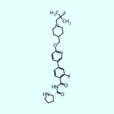 CC(C)(F)CN1CCC(COc2ccc(-c3ccc(C(=O)NC(=O)[C@@H]4CCCN4)c(F)c3)cn2)CC1